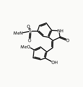 CNS(=O)(=O)c1ccc2c(c1)C(=Cc1cc(OC)ccc1O)C(=O)N2